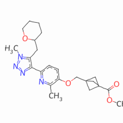 COC(=O)C12CC(COc3ccc(-c4nnn(C)c4CC4CCCCO4)nc3C)(C1)C2